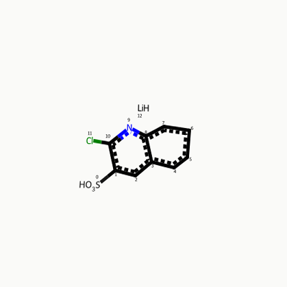 O=S(=O)(O)c1cc2ccccc2nc1Cl.[LiH]